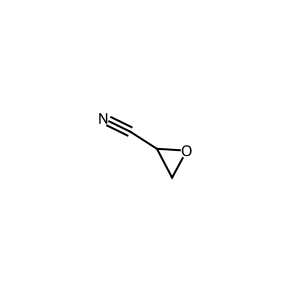 N#CC1CO1